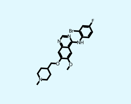 COc1cc2c(Nc3ccc(F)cc3Br)ncnc2cc1OCC1CCN(C)CC1